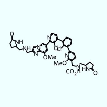 COc1nc(-c2cccc(-c3ccnc(-c4cc(OC)c5nc(CNCC6CCC(=O)N6)cn5c4)c3Cl)c2Cl)ccc1CN(CC1CCC(=O)N1)C(=O)O